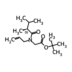 C=CCN(CC(=O)OC(C)(C)C)C(=O)[C@@H](C)C(C)C